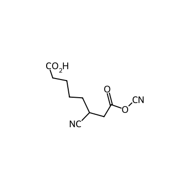 N#COC(=O)CC(C#N)CCCCC(=O)O